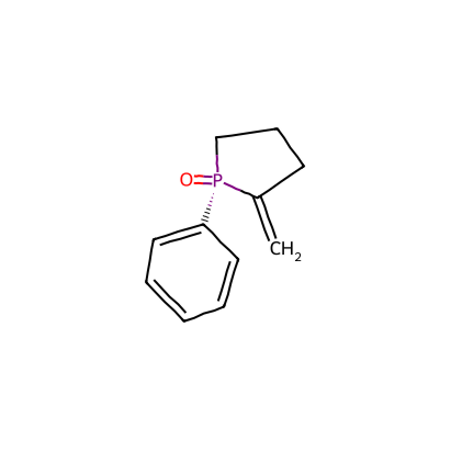 C=C1CCC[P@@]1(=O)c1ccccc1